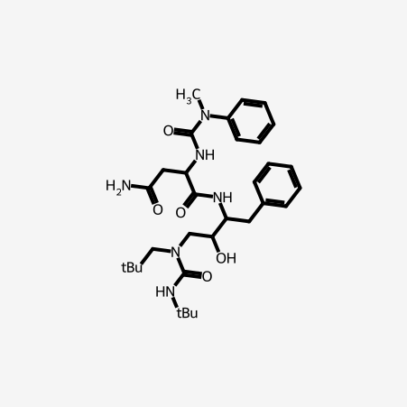 CN(C(=O)NC(CC(N)=O)C(=O)NC(Cc1ccccc1)C(O)CN(CC(C)(C)C)C(=O)NC(C)(C)C)c1ccccc1